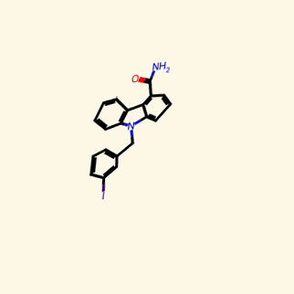 NC(=O)c1cccc2c1c1[c]cccc1n2Cc1cccc(I)c1